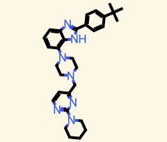 CC(C)(C)c1ccc(-c2nc3cccc(N4CCN(Cc5ccnc(N6CCCCC6)n5)CC4)c3[nH]2)cc1